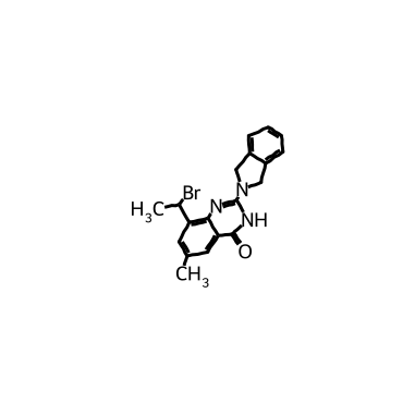 Cc1cc(C(C)Br)c2nc(N3Cc4ccccc4C3)[nH]c(=O)c2c1